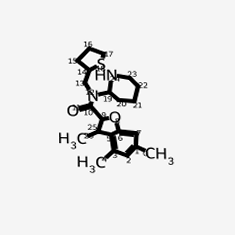 Cc1cc(C)c2c(c1)OC(C(=O)N(CC1CCCS1)C1CCCCN1)C2C